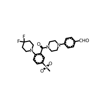 CS(=O)(=O)c1ccc(N2CCC(F)(F)CC2)c(C(=O)N2CCN(c3ccc(C=O)cc3)CC2)c1